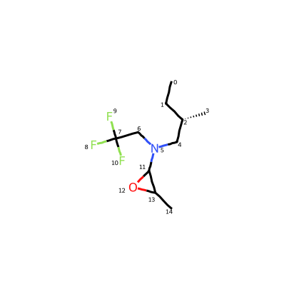 CC[C@H](C)CN(CC(F)(F)F)C1OC1C